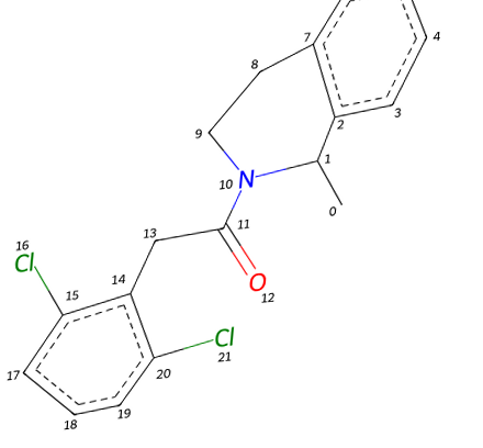 CC1c2ccccc2CCN1C(=O)Cc1c(Cl)cccc1Cl